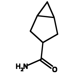 NC(=O)C1CC2CC2C1